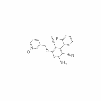 N#Cc1c(N)nc(OCc2ccc[n+]([O-])c2)c(C#N)c1-c1ccccc1F